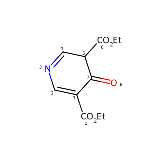 CCOC(=O)C1=CN=CC(C(=O)OCC)C1=O